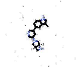 Cc1c[nH]c2ccc(-c3cncc(N4C[C@H]5CN[C@@H]5C4)c3)cc12